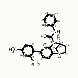 Cc1ccc(-c2ccc3c(n2)N(C(=O)Nc2cnccn2)[C@H]2CCN3C2)c(C)n1